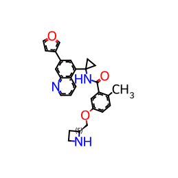 Cc1ccc(OC[C@@H]2CCN2)cc1C(=O)NC1(c2cc(-c3ccoc3)cc3ncccc23)CC1